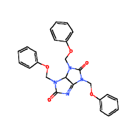 O=C1N=C2C(N1COc1ccccc1)N(COc1ccccc1)C(=O)N2COc1ccccc1